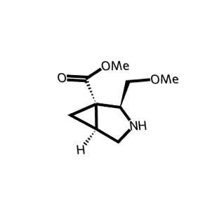 COC[C@H]1NC[C@H]2C[C@]21C(=O)OC